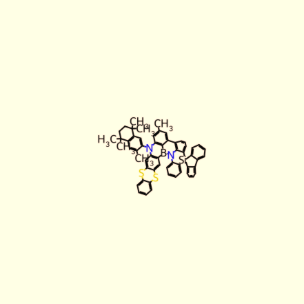 Cc1cc2c3c(c1)N(c1cc4c(cc1C)C(C)(C)CCC4(C)C)c1cc4c(cc1B3N1c3ccccc3[Si]3(c5ccccc5-c5ccccc53)c3cccc-2c31)Sc1ccccc1S4